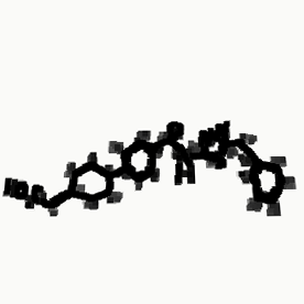 O=C(O)C=C1CCC(c2ccc(C(=O)Nc3nnc(Cc4ccccc4)s3)cc2)CC1